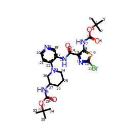 CC(C)(C)OC(=O)Nc1sc(Br)nc1C(=O)Nc1cnccc1N1CCCC(NC(=O)OC(C)(C)C)C1